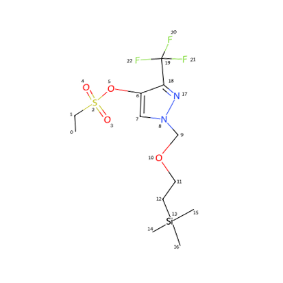 CCS(=O)(=O)Oc1cn(COCC[Si](C)(C)C)nc1C(F)(F)F